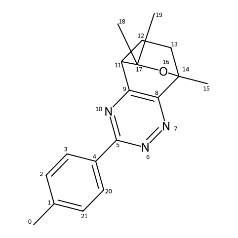 Cc1ccc(-c2nnc3c(n2)C2CCC3(C)OC2(C)C)cc1